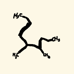 CC=CC(C)C(C)CC